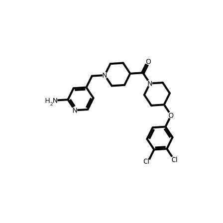 Nc1cc(CN2CCC(C(=O)N3CCC(Oc4ccc(Cl)c(Cl)c4)CC3)CC2)ccn1